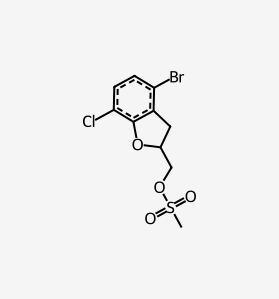 CS(=O)(=O)OCC1Cc2c(Br)ccc(Cl)c2O1